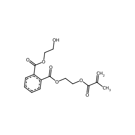 C=C(C)C(=O)OCCOC(=O)c1ccccc1C(=O)OCCO